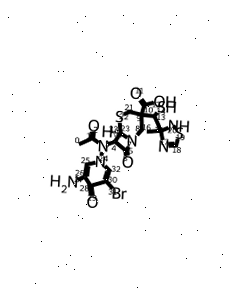 CC(=O)N(C1C(=O)N2CC(C(=O)O)(C(S)C3(C)N=CSN3)CS[C@H]12)n1cc(N)c(=O)c(Br)c1